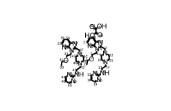 CCOCCn1c(CN2CCN(CCNc3ncccn3)CC2)nc2cccnc21.CCOCCn1c(CN2CCN(CCNc3ncccn3)CC2)nc2cccnc21.O=C(O)C(=O)O